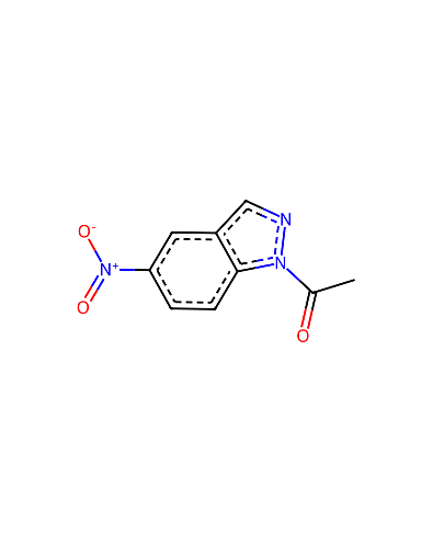 CC(=O)n1ncc2cc([N+](=O)[O-])ccc21